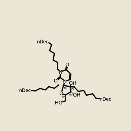 CCCCCCCCCCCCCCCCn1c(=O)ccn([C@]2(CCCCCCCCCCCCCCCC)O[C@H](CO)[C@@H](O)[C@]2(O)CCCCCCCCCCCCCCCC)c1=O